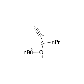 [C]#CC(CCC)OCCCC